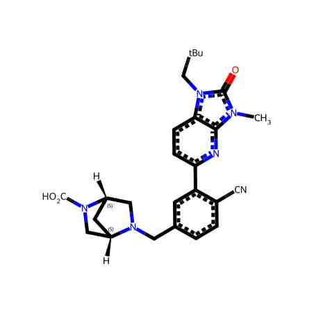 Cn1c(=O)n(CC(C)(C)C)c2ccc(-c3cc(CN4C[C@@H]5C[C@H]4CN5C(=O)O)ccc3C#N)nc21